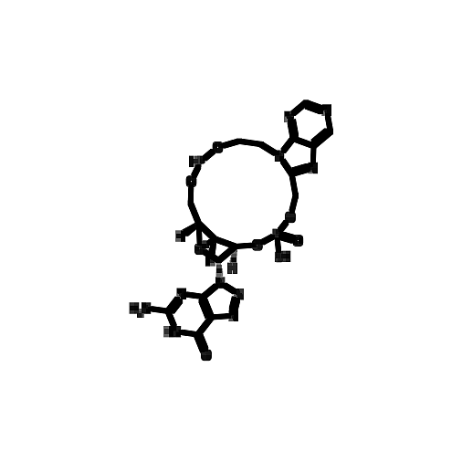 Nc1nc2c(nnn2[C@@H]2O[C@@H]3COPOCCn4c(nc5cncnc54)COP(=O)(S)O[C@@H]2[C@@H]3F)c(=O)[nH]1